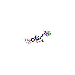 CC(C)(CCCCc1noc(C(F)(F)F)n1)C(=O)Nc1ccc(C(N)=O)cc1